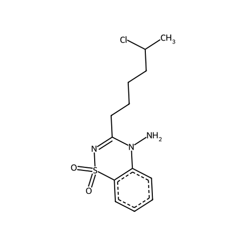 CC(Cl)CCCCC1=NS(=O)(=O)c2ccccc2N1N